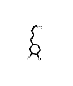 CCCC(C)CCCC1CCC(Cl)C(F)C1